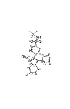 CC(C)(C)NS(=O)(=O)c1ccc(-c2c(C#N)c3cc(F)cnc3n2-c2ccccc2)nc1